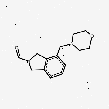 O=CN1Cc2cccc(CN3CCOCC3)c2C1